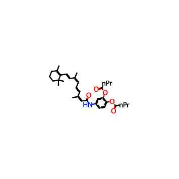 CCCC(=O)Oc1ccc(NC(=O)C=C(C)C=CC=C(C)C=CC2=C(C)CCCC2(C)C)cc1OC(=O)CCC